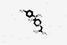 C[C](C)CN1CCC(C)(N(C)c2ccc(N)cc2)CC1